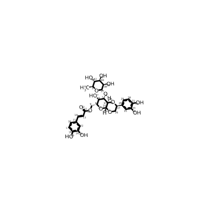 C[C@@H]1O[C@@H](O[C@H]2[C@H](O)[C@@H](COC(=O)/C=C/c3ccc(O)c(O)c3)O[C@H]3OC[C@H](c4ccc(O)c(O)c4)O[C@@H]32)[C@H](O)[C@H](O)[C@H]1O